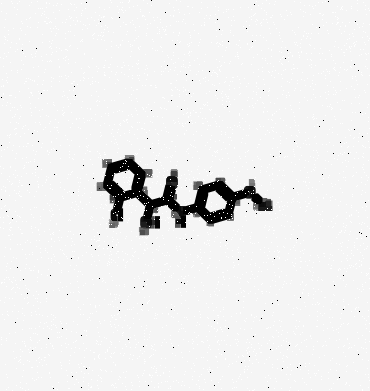 CCOc1ccc(NC(=O)C(O)c2ccccc2Cl)cc1